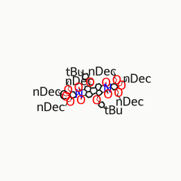 CCCCCCCCCCCCOc1cc(N2C(=O)c3ccc4c5c(Oc6ccc(C(C)(C)C)cc6)cc6c7c(ccc(c8c(Oc9ccc(C(C)(C)C)cc9)cc(c3c48)C2=O)c75)C(=O)N(c2cc(OCCCCCCCCCCCC)c(OCCCCCCCCCCCC)c(OCCCCCCCCCCCC)c2)C6=O)cc(OCCCCCCCCCCCC)c1OCCCCCCCCCCCC